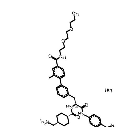 Cc1cc(C(=O)NCCOCCOCCO)ccc1-c1cccc(C[C@H](NC(=O)[C@H]2CC[C@H](CN)CC2)C(=O)Nc2ccc(-c3nnn[nH]3)cc2)c1.Cl